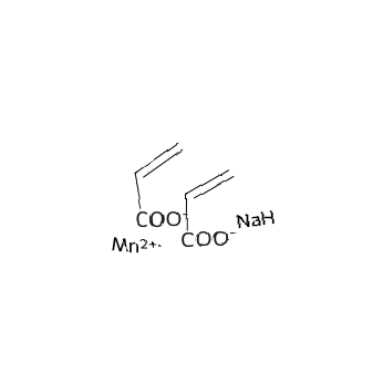 C=CC(=O)[O-].C=CC(=O)[O-].[Mn+2].[NaH]